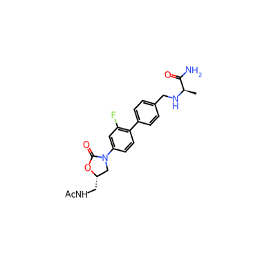 CC(=O)NC[C@H]1CN(c2ccc(-c3ccc(CN[C@H](C)C(N)=O)cc3)c(F)c2)C(=O)O1